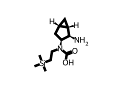 C[Si](C)(C)CCN(C(=O)O)[C@H]1C[C@@H]2C[C@@H]2[C@H]1N